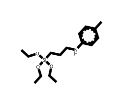 CCO[Si](CCCNc1ccc(C)cc1)(OCC)OCC